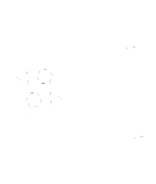 CCCCCCCCCCCCCCCCCCCCN(CCCCCCCCCCCCCCCCCCCC)S(=O)(=O)c1cc(Cl)ccc1-c1ccc(Cl)cc1S(N)(=O)=O